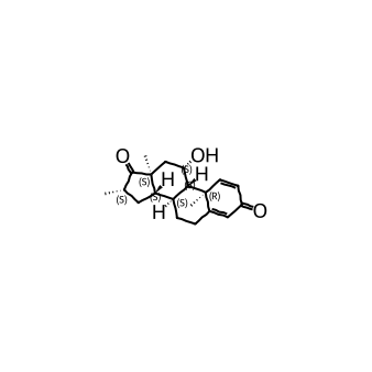 C[C@H]1C[C@H]2[C@@H]3CCC4=CC(=O)C=C[C@]4(C)[C@H]3[C@@H](O)C[C@]2(C)C1=O